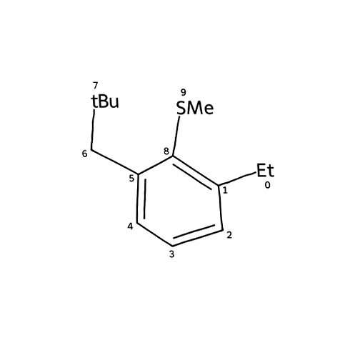 CCc1cccc(CC(C)(C)C)c1SC